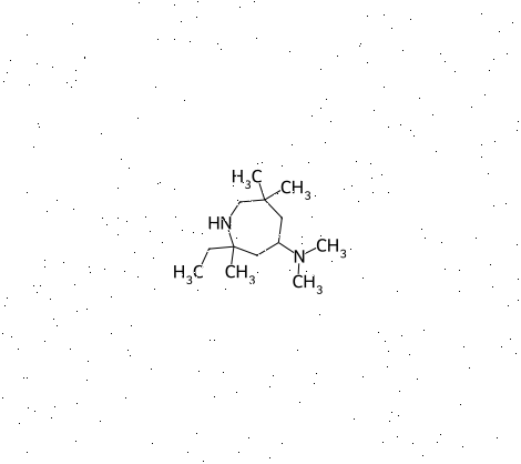 CCC1(C)CC(N(C)C)CC(C)(C)CN1